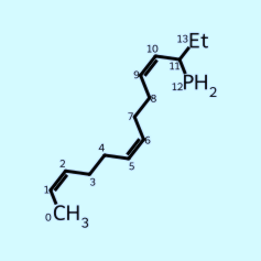 C/C=C\CC/C=C\CC/C=C\C(P)CC